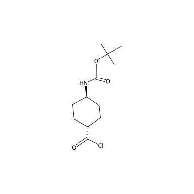 CC(C)(C)OC(=O)N[C@H]1CC[C@H](C(=O)Cl)CC1